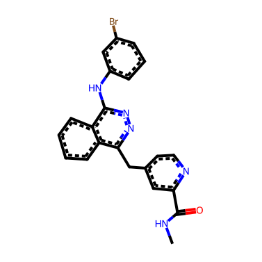 CNC(=O)c1cc(Cc2nnc(Nc3cccc(Br)c3)c3ccccc23)ccn1